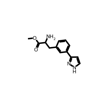 COC(=O)C(N)Cc1cccc(-c2cc[nH]n2)c1